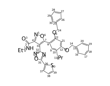 CCNC(=O)c1noc(-c2cc(C(C)C)c(OCc3ccccc3)cc2OCc2ccccc2)c1-c1noc(-c2cccs2)n1